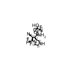 N#Cc1c(C(N)=O)c2n(c1C(F)(F)F)CCNC2.O=C(O)C(F)(F)F